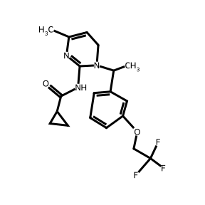 CC1=CCN(C(C)c2cccc(OCC(F)(F)F)c2)C(NC(=O)C2CC2)=N1